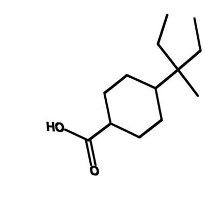 CCC(C)(CC)C1CCC(C(=O)O)CC1